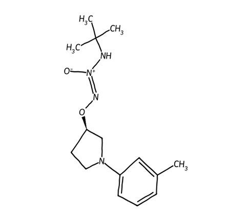 Cc1cccc(N2CC[C@@H](O/N=[N+](\[O-])NC(C)(C)C)C2)c1